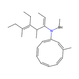 CBN(/C(=C/C)C(C)/C(CC)=C(\C)CC)c1cccccccc(C)c1